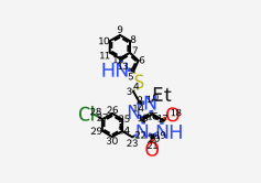 CCn1c(CSc2cc3ccccc3[nH]2)nc2c1c(=O)[nH]c(=O)n2Cc1ccc(Cl)cc1